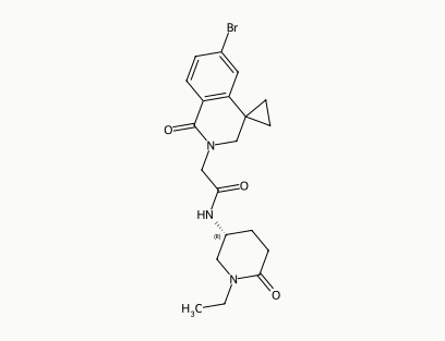 CCN1C[C@H](NC(=O)CN2CC3(CC3)c3cc(Br)ccc3C2=O)CCC1=O